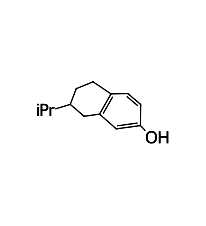 CC(C)C1CCc2ccc(O)cc2C1